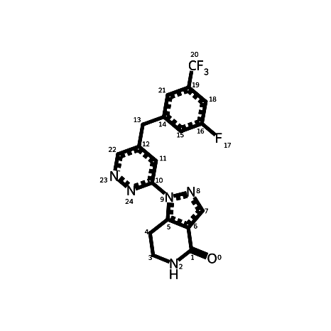 O=C1NCCc2c1cnn2-c1cc(Cc2cc(F)cc(C(F)(F)F)c2)cnn1